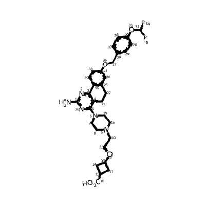 Nc1nc2c(c(N3CCN(CCOC4CC(C(=O)O)C4)CC3)n1)CCc1cc(OCc3ccc(OC(F)F)cc3)ccc1-2